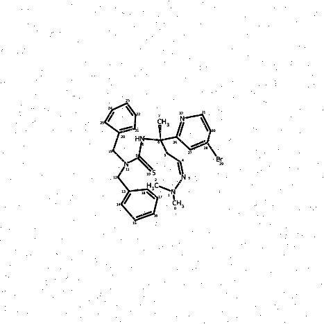 CN(C)/N=C\C[C@](C)(NC(=S)N(Cc1ccccc1)Cc1ccccc1)c1cc(Br)ccn1